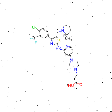 C[C@@H]1CCCN1Cc1sc(Nc2cc(N3CCN(CCC(=O)O)CC3)ccn2)nc1-c1ccc(Cl)c(C(F)(F)F)c1